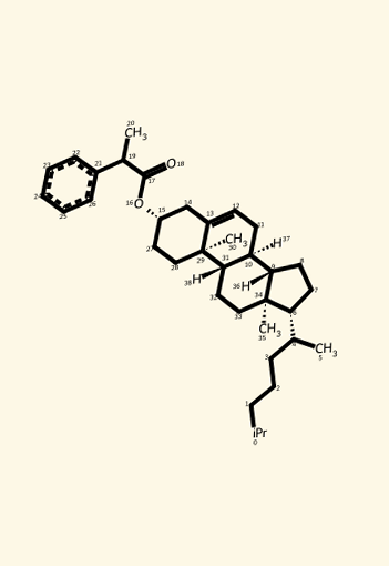 CC(C)CCCC(C)[C@H]1CC[C@H]2[C@@H]3CC=C4C[C@@H](OC(=O)C(C)c5ccccc5)CC[C@]4(C)[C@H]3CC[C@]12C